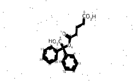 O=C(O)CCCC(=O)OC(C(=O)O)(c1ccccc1)c1ccccc1